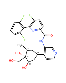 C[C@H]1C[C@@H](c2ccncc2NC(=O)c2ccc(F)c(-c3c(F)cccc3F)n2)C[C@@H](O)[C@@]1(O)CO